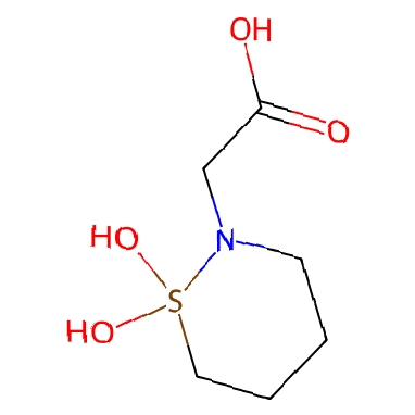 O=C(O)CN1CCCCS1(O)O